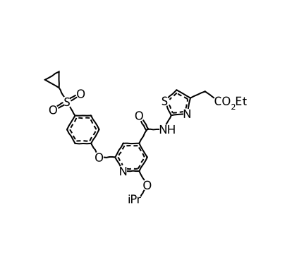 CCOC(=O)Cc1csc(NC(=O)c2cc(Oc3ccc(S(=O)(=O)C4CC4)cc3)nc(OC(C)C)c2)n1